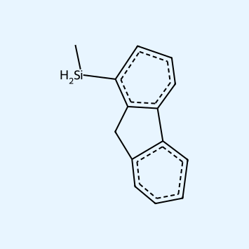 C[SiH2]c1cccc2c1Cc1ccccc1-2